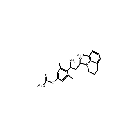 COC(=O)Oc1cc(C)c(C(N)CC(=O)N2CCCc3cccc(OC)c32)c(C)c1